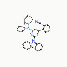 N#Cc1ccccc1-c1cc(-n2c3c(c4ccccc42)C=CCC3)nc(-n2c3ccccc3c3ccccc32)c1